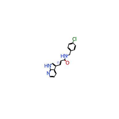 O=C(/C=C/c1c[nH]c2ncccc12)NCc1ccc(Cl)cc1